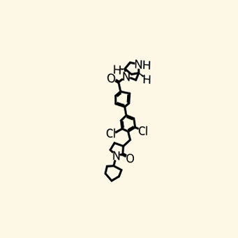 O=C1C(Cc2c(Cl)cc(-c3ccc(C(=O)N4C[C@@H]5C[C@H]4CN5)cc3)cc2Cl)CCN1C1CCCCC1